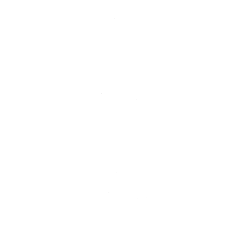 c1ccc2c(-c3c4ccccc4c(-c4ccc5oc6ccccc6c5c4)c4ccccc34)cccc2c1